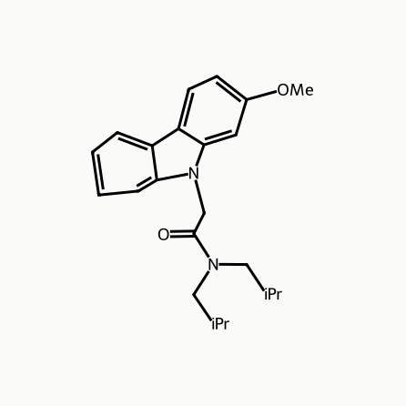 COc1ccc2c3ccccc3n(CC(=O)N(CC(C)C)CC(C)C)c2c1